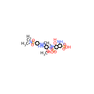 CCN(CC)S(=O)(=O)c1ccc(NNc2cc(OC)c(/N=N/c3c(S(=O)(=O)O)cc4cc(S(=O)(=O)O)cc(N)c4c3O)cc2C)cc1